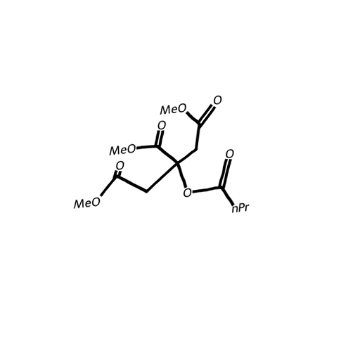 CCCC(=O)OC(CC(=O)OC)(CC(=O)OC)C(=O)OC